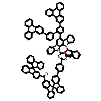 O=C(c1ccc2c(c1)C1(c3ccccc3-c3ccccc31)c1ccccc1-2)c1ccc2c(c1)C1(c3ccccc3-c3cc(-c4ccc(-c5nc(-c6ccccc6)nc(-n6c7ccccc7c7cc(-c8ccc(-c9ccc%10c%11ccccc%11c%11ccccc%11c%10c9)cc8-c8cccc(-c9ccc%10c%11ccccc%11c%11ccccc%11c%10c9)c8)c8c9ccccc9n(-c9ccccc9)c8c76)n5)cc4)ccc31)c1ccccc1-2